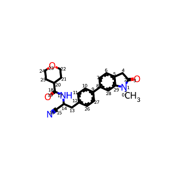 CN1C(=O)Cc2ccc(-c3ccc(CC(C#N)NC(=O)C4CCOCC4)cc3)cc21